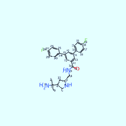 CC(C)(N)C1CN[C@H](CNC(=O)c2cc(-c3ccc(F)cc3)cc(-c3ccc(F)cc3)c2)C1